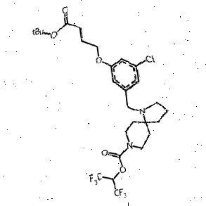 CC(C)(C)OC(=O)CCCOc1cc(Cl)cc(CN2CCCC23CCN(C(=O)OC(C(F)(F)F)C(F)(F)F)CC3)c1